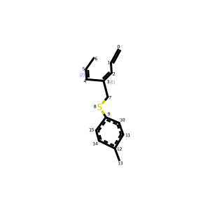 C=C/C=C(\C=C/C)CSc1ccc(C)cc1